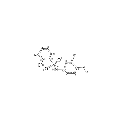 CCc1ccc(NS(=O)(=O)c2ccccc2Cl)cc1C